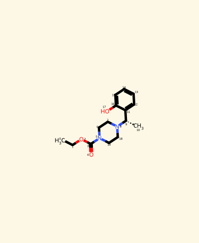 CCOC(=O)N1CCN([C@@H](C)c2ccccc2O)CC1